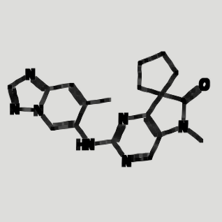 Cc1cc2ncnn2cc1Nc1ncc2c(n1)C1(CCCC1)C(=O)N2C